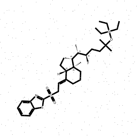 CC[Si](CC)(CC)OC(C)(C)CC[C@@H](F)[C@@H](C)[C@H]1CC[C@H]2C(=CCS(=O)(=O)c3nc4ccccc4s3)CCC[C@]12C